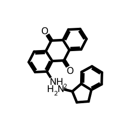 NC1CCc2ccccc21.Nc1cccc2c1C(=O)c1ccccc1C2=O